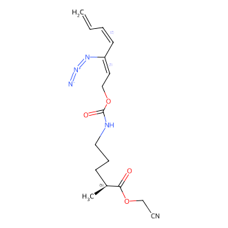 C=C/C=C\C(=C\COC(=O)NCCC[C@H](C)C(=O)OCC#N)N=[N+]=[N-]